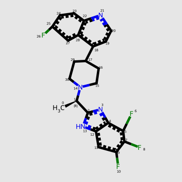 C[C@H](c1nc2c(F)c(F)c(F)cc2[nH]1)N1CCC(c2ccnc3ccc(F)cc23)CC1